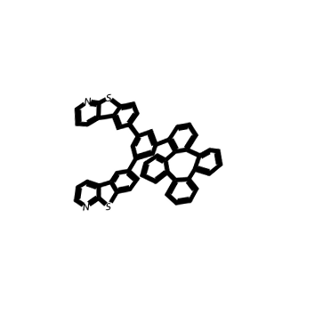 c1ccc2c(c1)-c1ccccc1-c1cccc(-c3cc(-c4ccc5sc6ncccc6c5c4)cc(-c4ccc5sc6ncccc6c5c4)c3)c1-c1ccccc1-2